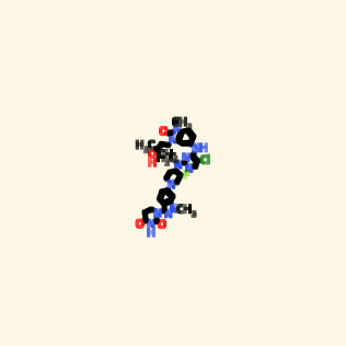 CN(c1ncc(Cl)c(Nc2ccc3c(c2)n(CCC(C)(C)O)c(=O)n3C)n1)[C@H]1CCN(c2ccc3c(N4CCC(=O)NC4=O)nn(C)c3c2)C[C@H]1F